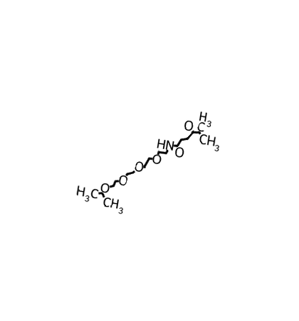 CC(C)OCCOCCOCCOCCNC(=O)CCC(=O)C(C)C